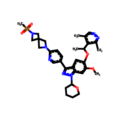 COc1cc2c(cc1OC(C)c1c(C)cnnc1C)c(-c1ccc(N3CC4(C3)CN(S(C)(=O)=O)C4)nc1)nn2C1CCCCO1